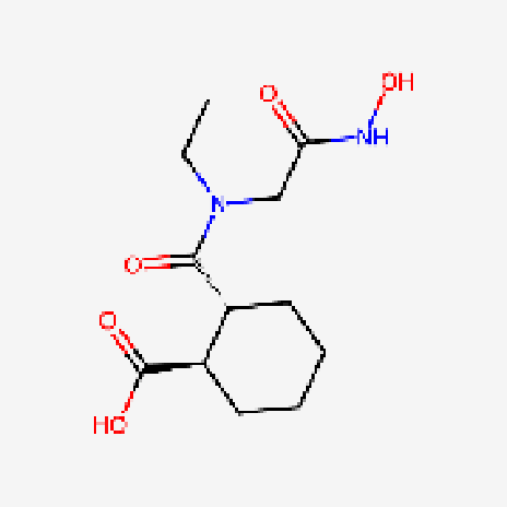 CCN(CC(=O)NO)C(=O)[C@@H]1CCCC[C@H]1C(=O)O